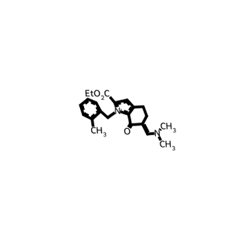 CCOC(=O)c1cc2c(n1Cc1ccccc1C)C(=O)/C(=C/N(C)C)CC2